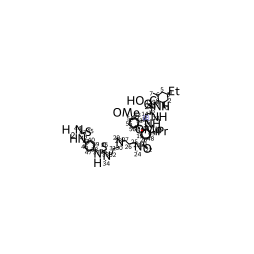 C=C1CC(CC)CC(C)C1(NC(=O)C(=N)/C=C(\Nc1ccc(C(=O)N(C)CCCN(C)CCCN(C)C(=S)Nc2ccc(NC(N)=S)cc2)cc1C(C)C)c1c(OC)cccc1OC)C(=O)O